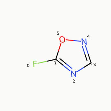 Fc1n[c]no1